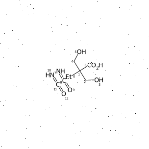 CCC(CO)(CO)C(=O)O.N=C=O.N=C=O